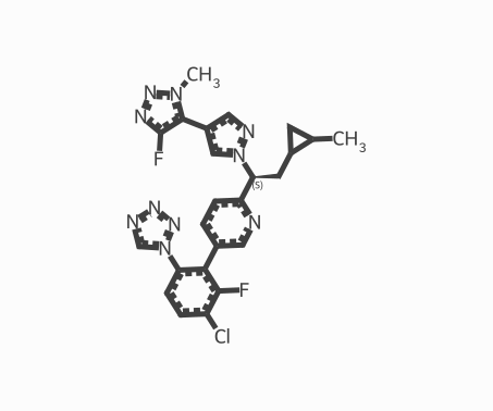 CC1CC1C[C@@H](c1ccc(-c2c(-n3cnnn3)ccc(Cl)c2F)cn1)n1cc(-c2c(F)nnn2C)cn1